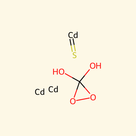 OC1(O)OO1.[Cd].[Cd].[S]=[Cd]